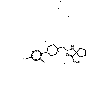 CNC(=O)C1(NCCC2CCC(c3ccc(Cl)cc3F)CC2)CCCC1